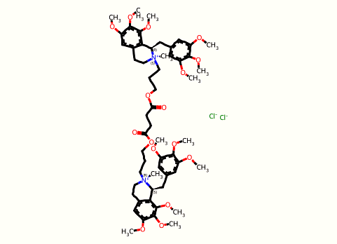 COc1cc(C[C@@H]2c3c(cc(OC)c(OC)c3OC)CC[N@@+]2(C)CCCOC(=O)CCC(=O)OCCC[N@@+]2(C)CCc3cc(OC)c(OC)c(OC)c3[C@@H]2Cc2cc(OC)c(OC)c(OC)c2)cc(OC)c1OC.[Cl-].[Cl-]